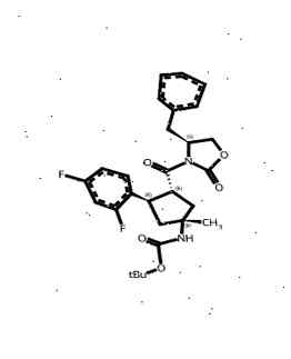 CC(C)(C)OC(=O)N[C@@]1(C)C[C@@H](C(=O)N2C(=O)OC[C@@H]2Cc2ccccc2)[C@H](c2ccc(F)cc2F)C1